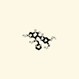 COc1cc2nc(-c3c(N(C)Cc4ncccn4)c4nn(C)cc4[nH]c3=O)[nH]c2cc1OC